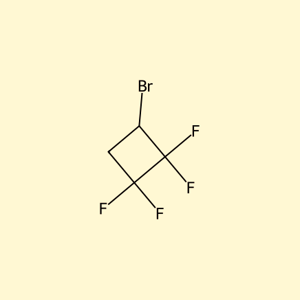 FC1(F)CC(Br)C1(F)F